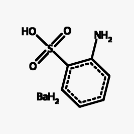 Nc1ccccc1S(=O)(=O)O.[BaH2]